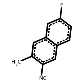 [C-]#[N+]c1cc2ccc(F)cc2cc1C